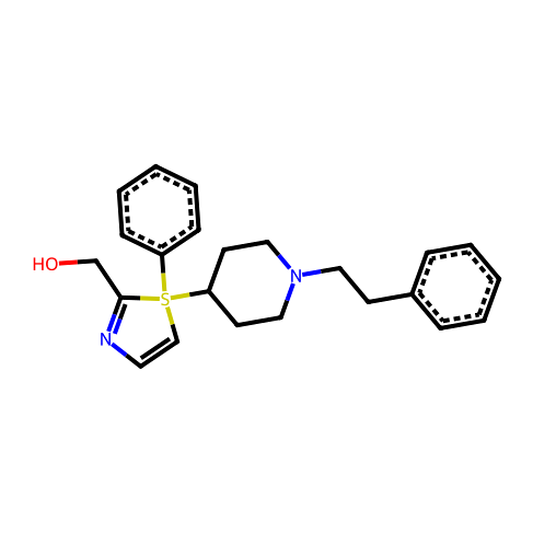 OCC1=NC=CS1(c1ccccc1)C1CCN(CCc2ccccc2)CC1